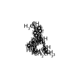 BP(F)NC(=N)NCCC[C@@H](NC(=O)[C@@H](CCCCNC(=O)OC(C)(C)C)NC(=O)COc1ccc2ccccc2c1-c1c(OCCC(C)C)ccc2ccccc12)C(=O)NC1(C(=O)OCc2ccccc2)CCCC1